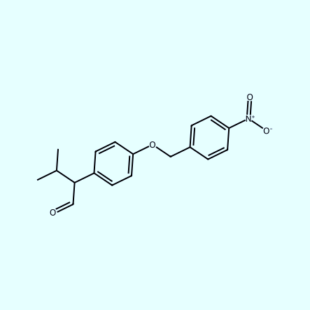 CC(C)C(C=O)c1ccc(OCc2ccc([N+](=O)[O-])cc2)cc1